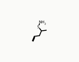 C=CCC(C)SN